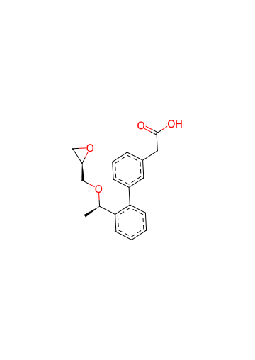 C[C@@H](OC[C@H]1CO1)c1ccccc1-c1cccc(CC(=O)O)c1